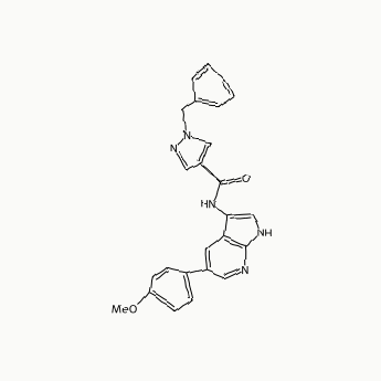 COc1ccc(-c2cnc3[nH]cc(NC(=O)c4cnn(Cc5ccccc5)c4)c3c2)cc1